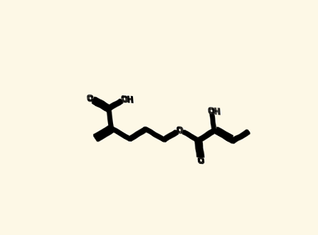 C=C(CCCOC(=O)C(O)=CC)C(=O)O